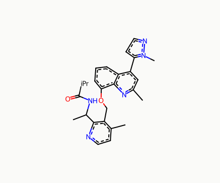 Cc1cc(-c2ccnn2C)c2cccc(OCc3c(C)ccnc3C(C)NC(=O)C(C)C)c2n1